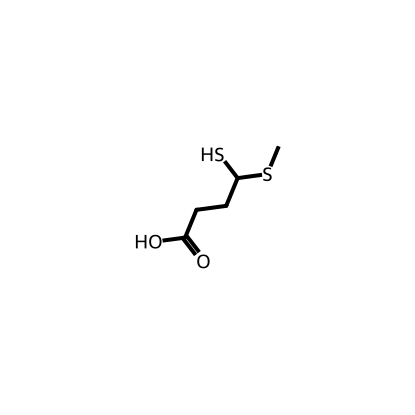 CSC(S)CCC(=O)O